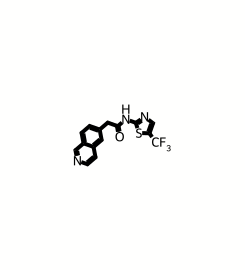 O=C(Cc1ccc2cnccc2c1)Nc1ncc(C(F)(F)F)s1